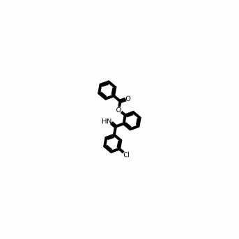 N=C(c1cccc(Cl)c1)c1ccccc1OC(=O)c1ccccc1